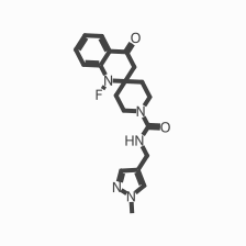 Cn1cc(CNC(=O)N2CCC3(CC2)CC(=O)c2ccccc2N3F)cn1